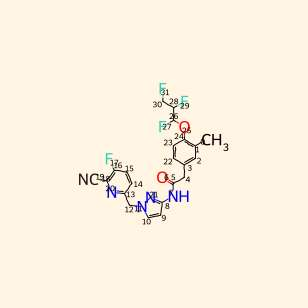 Cc1cc(CC(=O)Nc2ccn(Cc3ccc(F)c(C#N)n3)n2)ccc1OC(F)C(F)CF